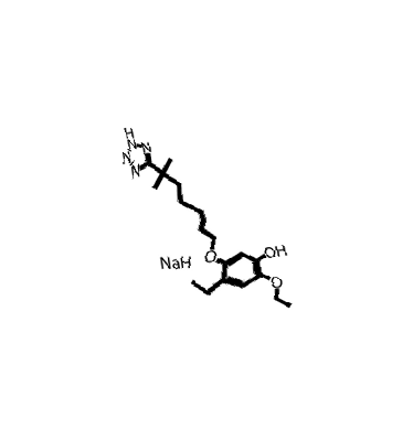 CCOc1cc(CC)c(OCCCCCC(C)(C)c2nn[nH]n2)cc1O.[NaH]